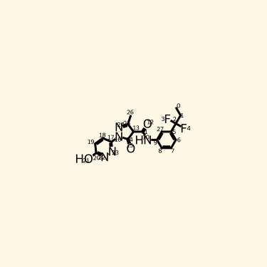 CCC(F)(F)c1cccc(NC(=O)C2C(=O)N(c3ccc(O)nn3)N=C2C)c1